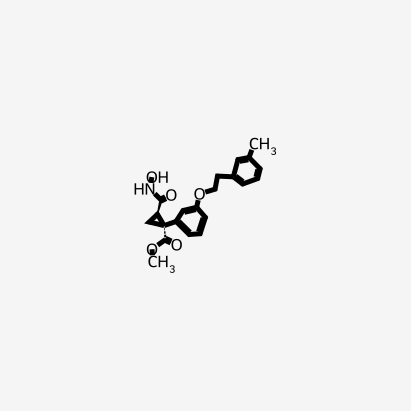 COC(=O)[C@]1(c2cccc(OCCc3cccc(C)c3)c2)C[C@H]1C(=O)NO